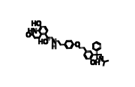 CC(C)N1CC(c2ccccc2)(c2cc(CCOc3ccc(CCNC[C@H](O)c4ccc(O)c5[nH]c(=O)ccc45)cc3)ccc2O)C1